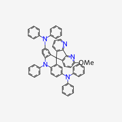 COc1ccc2c(n1)-c1ncccc1C21c2cc(N(c3ccccc3)c3ccccc3)ccc2N(c2ccccc2)c2ccc(N(c3ccccc3)c3ccccc3)cc21